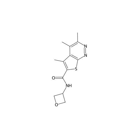 Cc1nnc2sc(C(=O)NC3COC3)c(C)c2c1C